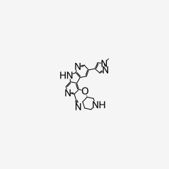 Cn1cc(-c2cnc3[nH]c4cnc(C#N)c(O[C@H]5CCCNC5)c4c3c2)cn1